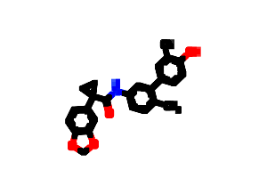 Cc1ccc(NC(=O)C2(c3ccc4c(c3)OCO4)CC2)cc1-c1ccc(O)c(C#N)c1